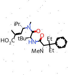 CCC(CC)(c1ccccc1)[C@H](NC)C(=O)N[C@H](C(=O)N(C)[C@H](/C=C(\C)C(=O)O)C(C)C)C(C)(C)C